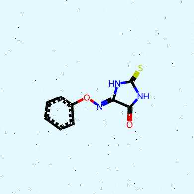 O=C1NC(=S)NC1=NOc1ccccc1